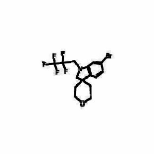 FC(F)(F)C(F)(F)CN1CC2(CCOCC2)c2ccc(Br)cc21